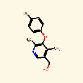 [C-]#[N+]c1ccc(Oc2c(C)ncc(CO)c2C)cc1